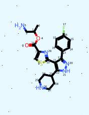 CC(CN)OC(=O)c1csc(-c2c(-c3ccc(F)cc3)n[nH]c2C2CCNCC2)n1